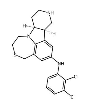 Clc1cccc(Nc2cc3c4c(c2)[C@@H]2CNCC[C@@H]2N4CCSC3)c1Cl